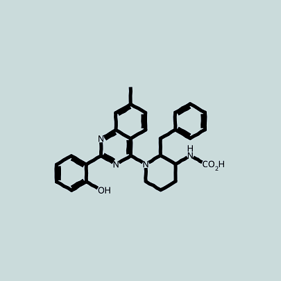 Cc1ccc2c(N3CCCC(NC(=O)O)C3Cc3ccccc3)nc(-c3ccccc3O)nc2c1